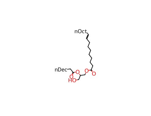 CCCCCCCCC=CCCCCCCCC(=O)OCC(CO)OC(=O)CCCCCCCCCCC